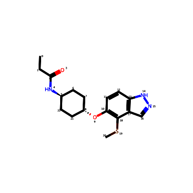 CCC(=O)N[C@H]1CC[C@H](Oc2ccc3[nH]ncc3c2SC)CC1